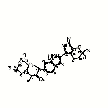 CC(C(=O)N(C)c1ccc2cc(-c3n[nH]c4c3CCC(C)(C)C4)[nH]c2c1)N1C[C@@H](C)O[C@@H](C)C1